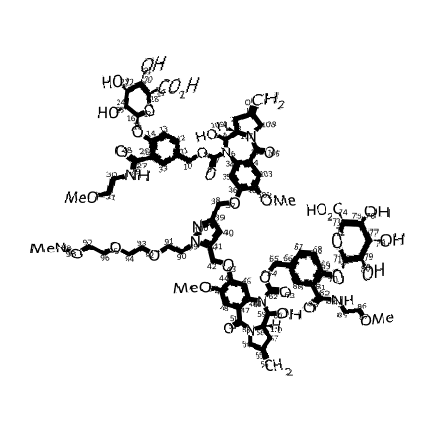 C=C1C[C@H]2C(O)N(C(=O)OCc3ccc(O[C@@H]4O[C@H](C(=O)O)[C@@H](O)[C@H](O)[C@H]4O)c(C(=O)NCCOC)c3)c3cc(OCc4cc(COc5cc6c(cc5OC)C(=O)N5CC(=C)C[C@H]5C(O)N6C(=O)OCc5ccc(O[C@@H]6O[C@H](C(=O)O)[C@@H](O)[C@H](O)[C@H]6O)c(C(=O)NCCOC)c5)n(CCOCCOCCONC)n4)c(OC)cc3C(=O)N2C1